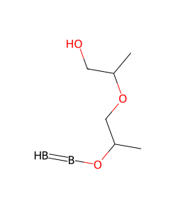 B=BOC(C)COC(C)CO